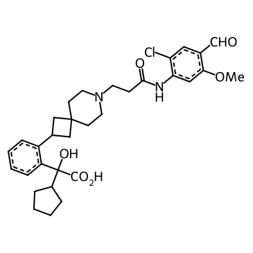 COc1cc(NC(=O)CCN2CCC3(CC2)CC(c2ccccc2C(O)(C(=O)O)C2CCCC2)C3)c(Cl)cc1C=O